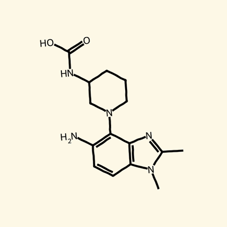 Cc1nc2c(N3CCCC(NC(=O)O)C3)c(N)ccc2n1C